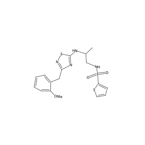 COc1ccccc1Cc1nsc(NC(C)CNS(=O)(=O)c2cccs2)n1